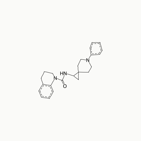 O=C(NC1CC12CCN(c1ccccc1)CC2)N1CCCc2ccccc21